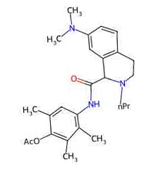 CCCN1CCc2ccc(N(C)C)cc2C1C(=O)Nc1cc(C)c(OC(C)=O)c(C)c1C